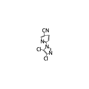 N#Cc1ccc(-n2cnc(Cl)c2Cl)nc1